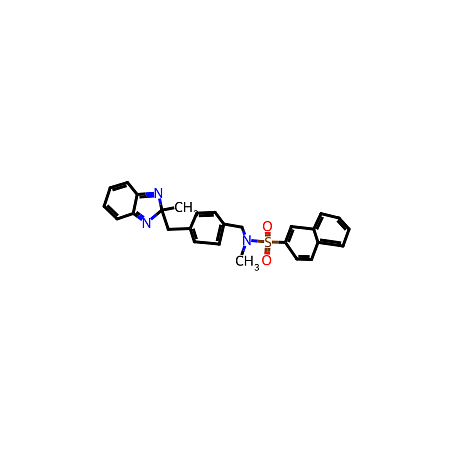 CN(Cc1ccc(CC2(C)N=c3ccccc3=N2)cc1)S(=O)(=O)c1ccc2ccccc2c1